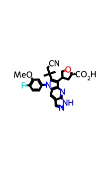 COc1cc(-n2c(C(C)(C)CC#N)c(C3CO[C@@H](C(=O)O)C3)c3nc4[nH]ncc4cc32)ccc1F